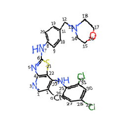 N#Cc1cnc2nc(Nc3ccc(CN4CCOCC4)cc3)sc2c1Nc1ccc(Cl)cc1Cl